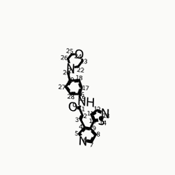 O=C(C=Cc1cnccc1-c1ccns1)Nc1ccc(CN2CCOCC2)cc1